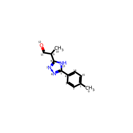 Cc1ccc(-c2nnc(C(C)C=O)[nH]2)cc1